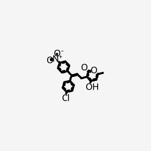 Cc1cc(O)c(CC=C(c2ccc(Cl)cc2)c2ccc([N+](=O)[O-])cc2)c(=O)o1